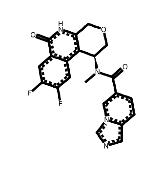 CN(C(=O)c1ccc2cncn2c1)[C@@H]1COCc2[nH]c(=O)c3cc(F)c(F)cc3c21